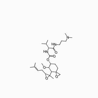 COC1C(OC(=O)NC(C(=O)NCCCN(C)C)C(C)C)CCC2(CO2)C1C1(C)OC1CC=C(C)C